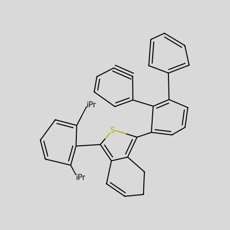 CC(C)c1cccc(C(C)C)c1-c1sc(-c2cccc(-c3ccccc3)c2-c2c#cccc2)c2c1C=CCC2